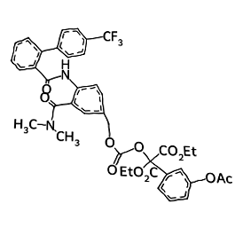 CCOC(=O)C(OC(=O)OCc1ccc(NC(=O)c2ccccc2-c2ccc(C(F)(F)F)cc2)c(C(=O)N(C)C)c1)(C(=O)OCC)c1cccc(OC(C)=O)c1